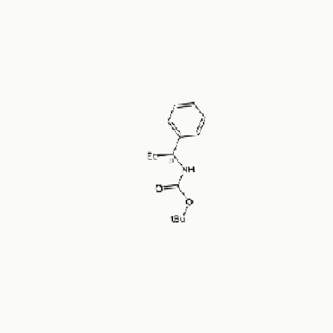 CC[C@H](NC(=O)OC(C)(C)C)c1ccccc1